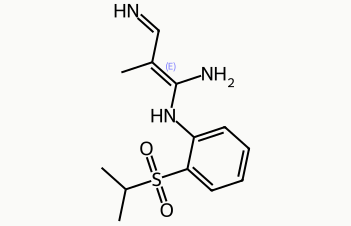 C/C(C=N)=C(/N)Nc1ccccc1S(=O)(=O)C(C)C